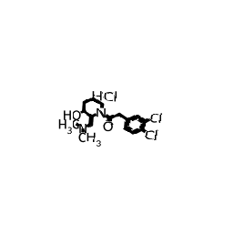 CN(C)CC1C(O)CCCN1C(=O)Cc1ccc(Cl)c(Cl)c1.Cl